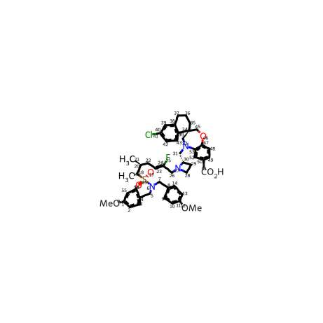 COc1ccc(CN(Cc2ccc(OC)cc2)S(=O)(=O)[C@H](C)[C@@H](C)CC=C(F)CN2CC[C@H]2CN2C[C@@]3(CCCc4cc(Cl)ccc43)COc3ccc(C(=O)O)cc32)cc1